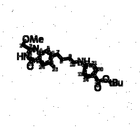 COCc1nc2cc(CCCCNc3ccc(C(=O)OC(C)(C)C)cc3)c(C)cc2c(=O)[nH]1